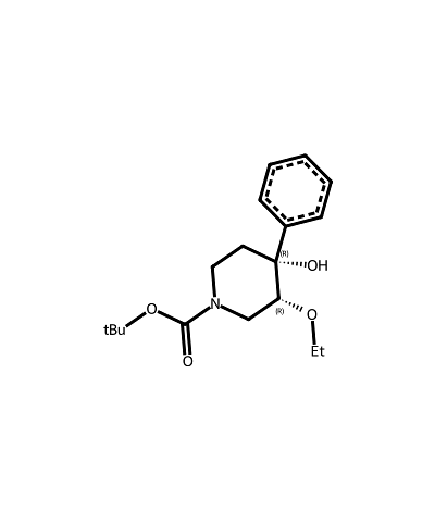 CCO[C@@H]1CN(C(=O)OC(C)(C)C)CC[C@@]1(O)c1ccccc1